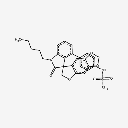 CCCCCN1C(=O)C2(COc3cc4c(cc32)OCO4)c2c(-c3ccc(NS(C)(=O)=O)cc3)cccc21